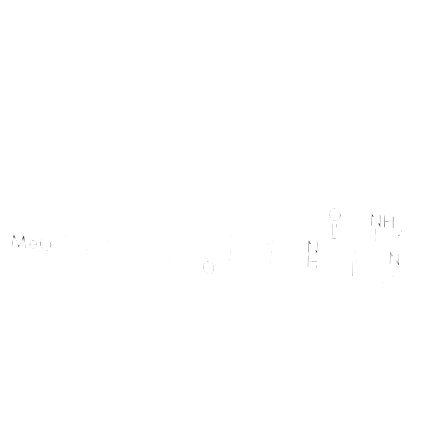 COCCCCCCCOc1ccc(CNC(=O)c2cccnc2N)cc1